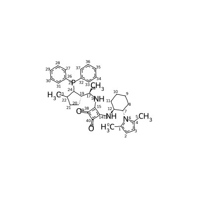 Cc1ccc(C)n1[C@H]1CCCC[C@@H]1Nc1c(N[C@H](C)[C@@H]2CCC(C)C2P(c2ccccc2)c2ccccc2)c(=O)c1=O